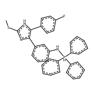 CSc1nc(-c2ccnc(N[PH](c3ccccc3)(c3ccccc3)c3ccccc3)c2)c(-c2ccc(F)cc2)[nH]1